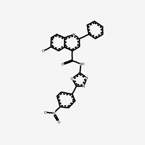 O=C(Nc1nnc(-c2ccc([N+](=O)[O-])cc2)o1)c1cc(-c2ccccc2)nc2ccc(Cl)cc12